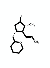 C/C=C/C1[C@@H](C)C(Cl)C[C@H]1OC1CCCCO1